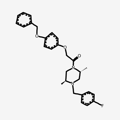 C[C@@H]1CN(Cc2ccc(F)cc2)[C@@H](C)CN1C(=O)COc1ccc(OCc2ccccc2)cc1